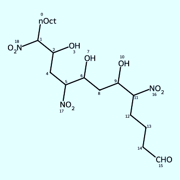 CCCCCCCCC(C(O)CC(C(O)CC(O)C(CCCC=O)[N+](=O)[O-])[N+](=O)[O-])[N+](=O)[O-]